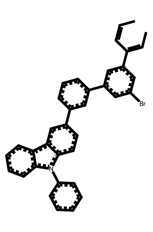 C/C=C\C(=C/C)c1cc(Br)cc(-c2cccc(-c3ccc4c(c3)c3ccccc3n4-c3ccccc3)c2)c1